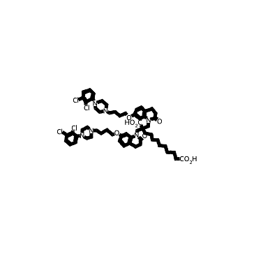 O=C(O)CCCCCCCCCC(CN1C(=O)CCc2ccc(OCCCCN3CCN(c4cccc(Cl)c4Cl)CC3)cc21)(CN1C(=O)CCc2ccc(OCCCCN3CCN(c4cccc(Cl)c4Cl)CC3)cc21)C(=O)O